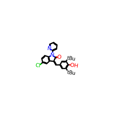 CC(C)(C)c1cc(C=C2C(=O)N(c3ccccn3)c3ccc(Cl)cc32)cc(C(C)(C)C)c1O